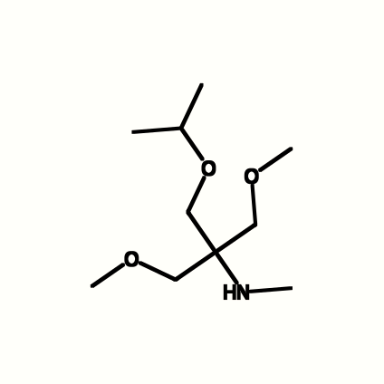 CNC(COC)(COC)COC(C)C